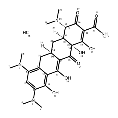 CN(C)c1cc(N(C)C)c2c(c1O)C(O)=C1C(=O)[C@]3(O)C(O)=C(C(N)=O)C(=O)[C@@H](N(C)C)[C@@H]3C[C@@H]1C2.Cl